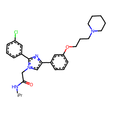 CC(C)NC(=O)Cn1cc(-c2cccc(OCCCN3CCCCC3)c2)nc1-c1cccc(Cl)c1